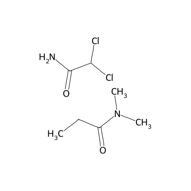 CCC(=O)N(C)C.NC(=O)C(Cl)Cl